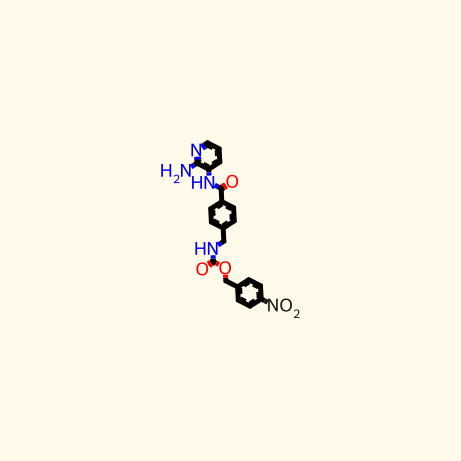 Nc1ncccc1NC(=O)c1ccc(CNC(=O)OCc2ccc([N+](=O)[O-])cc2)cc1